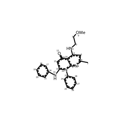 COCCNc1cc(C)nc2c1c(=O)cc(Nc1ccccc1)n2-c1ccccc1